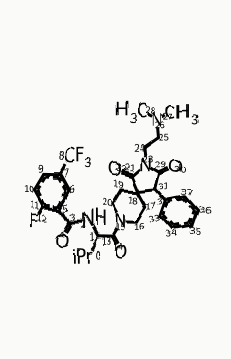 CC(C)[C@@H](NC(=O)c1cc(C(F)(F)F)ccc1F)C(=O)N1CCC2(CC1)C(=O)N(CCN(C)C)C(=O)C2c1ccccc1